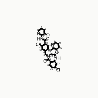 O=C(Nc1ncccc1F)c1ccc(CN2C(=O)c3ccc(Cl)cc3NC(=O)[C@H]2Cc2ccccn2)cc1Cl